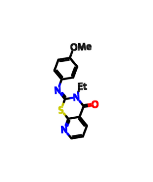 CCn1c(=Nc2ccc(OC)cc2)sc2ncccc2c1=O